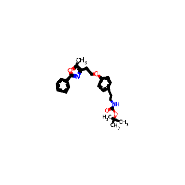 Cc1oc(-c2ccccc2)nc1CCOc1ccc(CCNC(=O)OC(C)(C)C)cc1